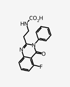 O=C(O)NCCc1nc2cccc(F)c2c(=O)n1-c1ccccc1